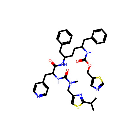 CC(C)c1nc(CN(C)C(=O)NC(Cc2ccncc2)C(=O)NC(CCC(Cc2ccccc2)NC(=O)OCc2cncs2)Cc2ccccc2)cs1